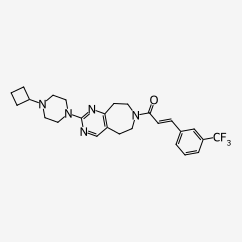 O=C(C=Cc1cccc(C(F)(F)F)c1)N1CCc2cnc(N3CCN(C4CCC4)CC3)nc2CC1